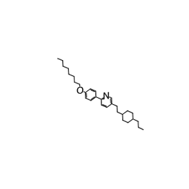 CCCCCCCCOc1ccc(-c2ccc(CCC3CCC(CCC)CC3)cn2)cc1